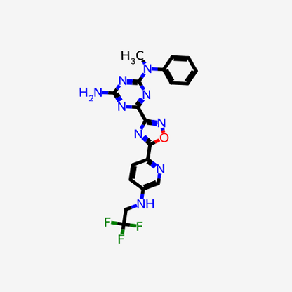 CN(c1ccccc1)c1nc(N)nc(-c2noc(-c3ccc(NCC(F)(F)F)cn3)n2)n1